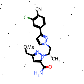 COCc1cc(C(N)=O)n([C@@H](C)Cn2ccc(-c3ccc(C#N)c(Cl)c3)n2)n1